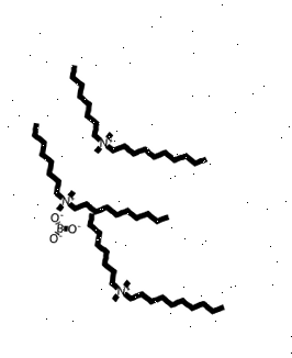 CCCCCCCCCC[N+](C)(C)CCCCCCCC.CCCCCCCCCC[N+](C)(C)CCCCCCCC.CCCCCCCCCC[N+](C)(C)CCCCCCCC.[O-]B([O-])[O-]